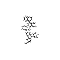 N#Cc1ccc2c(c1)c1ccc(-c3cc4c5ccccc5c(-c5cccc6ccccc56)cc4c4ccccc34)cc1n2-c1ccccc1